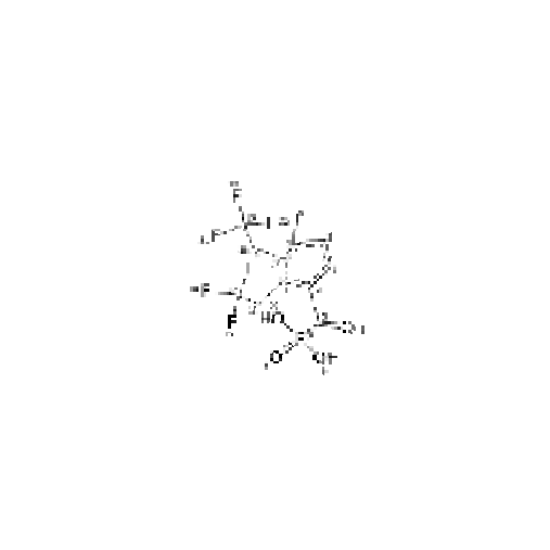 Cc1ccc(C(=O)P(=O)(O)O)c(CC(F)(F)F)c1CC(F)(F)F